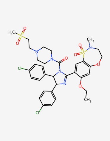 CCOc1cc2c(cc1C1=NC(c3ccc(Cl)cc3)C(c3ccc(Cl)cc3)N1C(=O)N1CCN(CCS(C)(=O)=O)CC1)S(=O)(=O)N(C)CCO2